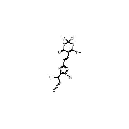 CCn1nc(N=NC2=C(O)OC(C)(C)OC2=O)nc1C(C)N=C=O